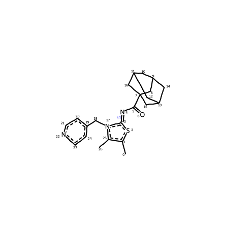 Cc1s/c(=N\C(=O)C23CC4CC(CC(C4)C2)C3)n(Cc2ccncc2)c1C